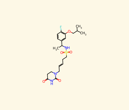 CC(C)COc1cc(C(C)NS(=O)(=O)CC/C=C/CN2CCC(=O)NC2=O)ccc1F